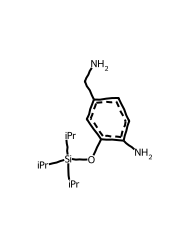 CC(C)[Si](Oc1cc(CN)ccc1N)(C(C)C)C(C)C